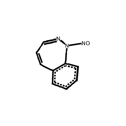 O=NN1N=CC=Cc2ccccc21